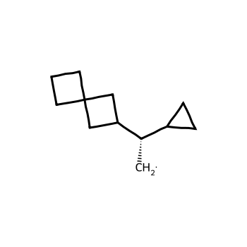 [CH2][C@@H](C1CC1)C1CC2(CCC2)C1